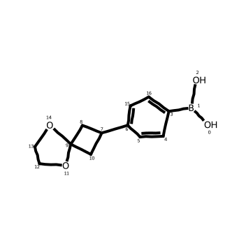 OB(O)c1ccc(C2CC3(C2)OCCO3)cc1